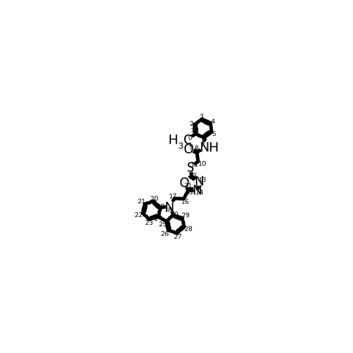 Cc1ccccc1NC(=O)CSc1nnc(CCn2c3ccccc3c3ccccc32)o1